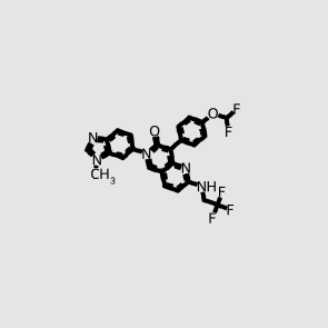 Cn1cnc2ccc(-n3cc4ccc(NCC(F)(F)F)nc4c(-c4ccc(OC(F)F)cc4)c3=O)cc21